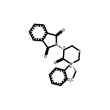 O=C(O)C[N@@+]1(c2ccccc2)CSC[C@@H](N2C(=O)c3ccccc3C2=O)C1=O